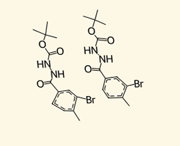 Cc1ccc(C(=O)NNC(=O)OC(C)(C)C)cc1Br.Cc1ccc(C(=O)NNC(=O)OC(C)(C)C)cc1Br